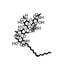 CCCCCC/C=C\CCCCCCCC(=O)NC1C(O)[C@H](O)C(CO)O[C@H]1O[C@@H]1C(CO)O[C@@H](O[C@@H]2C(CO)O[C@@H](O[C@@H]3C(COS(=O)(=O)O)O[C@@H](O)C(NC(C)=O)C3O)C(NC(C)=O)C2O)C(NC(C)=O)C1O